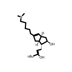 CCCCC(O)=CC[C@@H]1[C@H]2CC(CCCCCN(C)C)=C[C@H]2C[C@H]1O